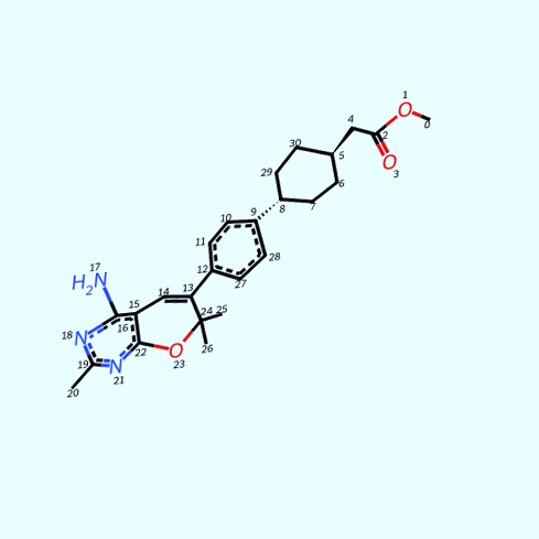 COC(=O)C[C@H]1CC[C@H](c2ccc(C3=Cc4c(N)nc(C)nc4OC3(C)C)cc2)CC1